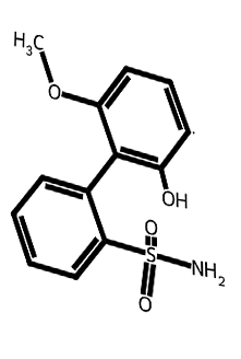 COc1cc[c]c(O)c1-c1ccccc1S(N)(=O)=O